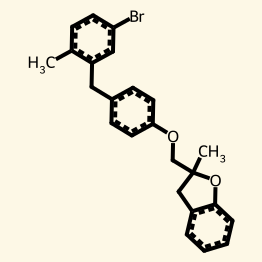 Cc1ccc(Br)cc1Cc1ccc(OCC2(C)Cc3ccccc3O2)cc1